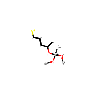 CCC[Si](OCC)(OCC)OC(C)CCCS